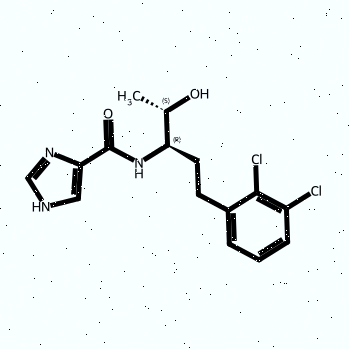 C[C@H](O)[C@@H](CCc1cccc(Cl)c1Cl)NC(=O)c1c[nH]cn1